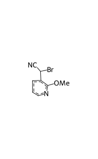 COc1ncccc1C(Br)C#N